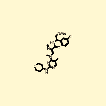 C=N/C(=C\N(C)c1nc(NC2CCOCC2)ncc1C)C(=O)NC(CNC)c1cccc(Cl)c1